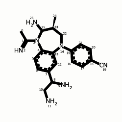 CC(=N)N1c2ccc(C(N)CN)cc2N(c2ccc(C#N)cc2)C[C@H](C)C1N